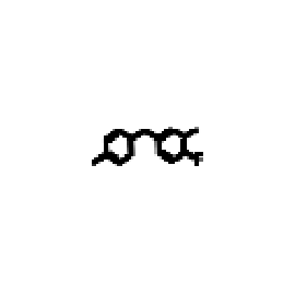 Cc1ccc(Cc2ccc(F)c(C)c2)cc1